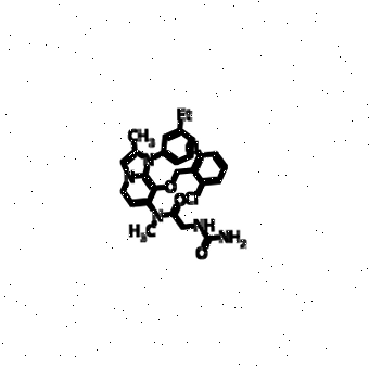 CCc1cccc(N2C(C)=CN3CC=C(N(C)C(=O)CNC(N)=O)C(OCc4c(Cl)cccc4Cl)=C32)c1